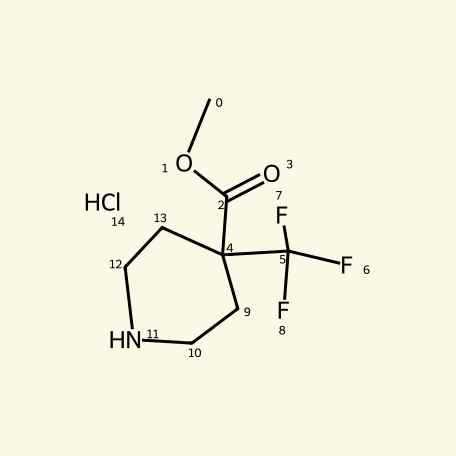 COC(=O)C1(C(F)(F)F)CCNCC1.Cl